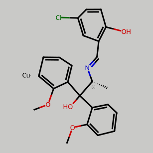 COc1ccccc1C(O)(c1ccccc1OC)[C@@H](C)N=Cc1cc(Cl)ccc1O.[Cu]